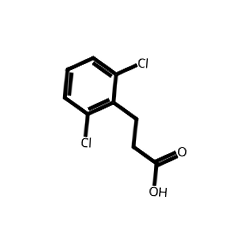 O=C(O)CCc1c(Cl)cccc1Cl